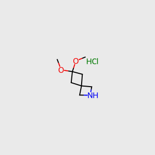 COC1(OC)CC2(CNC2)C1.Cl